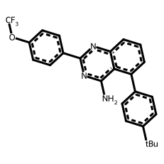 CC(C)(C)c1ccc(-c2cccc3nc(-c4ccc(OC(F)(F)F)cc4)nc(N)c23)cc1